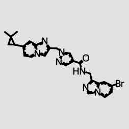 CC1(C)CC1c1ccn2cc(Cn3cc(C(=O)NCc4ncn5ccc(Br)cc45)cn3)nc2c1